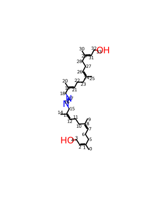 CC(=CCO)CCC=C(C)CCC=C(C)CN=NCC(C)=CCCC(C)=CCCC(C)=CCO